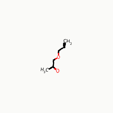 C=CCOCC(C)[O]